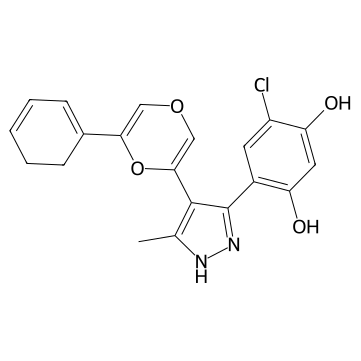 Cc1[nH]nc(-c2cc(Cl)c(O)cc2O)c1C1=COC=C(C2=CC=CCC2)O1